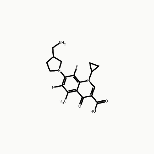 Cc1c(F)c(N2CCC(CN)C2)c(F)c2c1c(=O)c(C(=O)O)cn2C1CC1